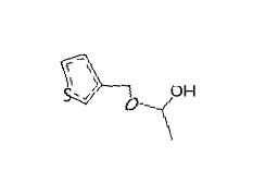 CC(O)OCc1ccsc1